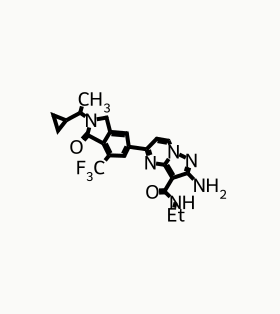 CCNC(=O)c1c(N)nn2ccc(-c3cc4c(c(C(F)(F)F)c3)C(=O)N(C(C)C3CC3)C4)nc12